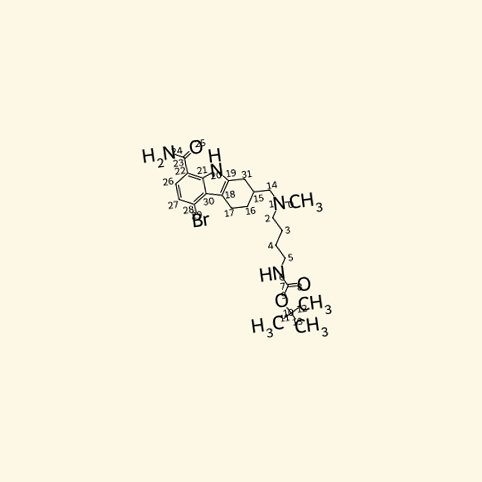 CN(CCCCNC(=O)OC(C)(C)C)CC1CCc2c([nH]c3c(C(N)=O)ccc(Br)c23)C1